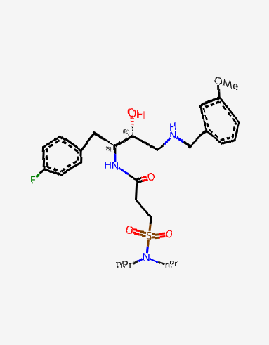 CCCN(CCC)S(=O)(=O)CCC(=O)N[C@@H](Cc1ccc(F)cc1)[C@H](O)CNCc1cccc(OC)c1